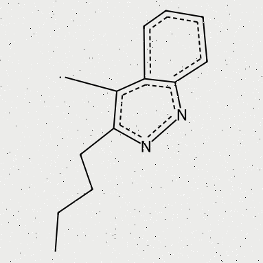 [CH2]c1c(CCCC)nnc2ccccc12